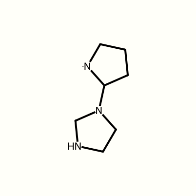 C1C[N]C(N2CCNC2)C1